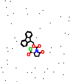 O=C(Cl)[C@H]1CCC(=O)N1C(=O)OCC1c2ccccc2-c2ccccc21